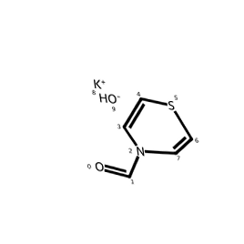 O=CN1C=CSC=C1.[K+].[OH-]